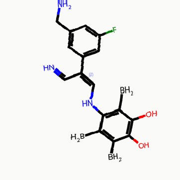 Bc1c(B)c(N/C=C(\C=N)c2cc(F)cc(CN)c2)c(B)c(O)c1O